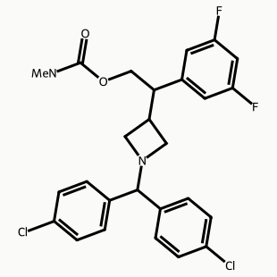 CNC(=O)OCC(c1cc(F)cc(F)c1)C1CN(C(c2ccc(Cl)cc2)c2ccc(Cl)cc2)C1